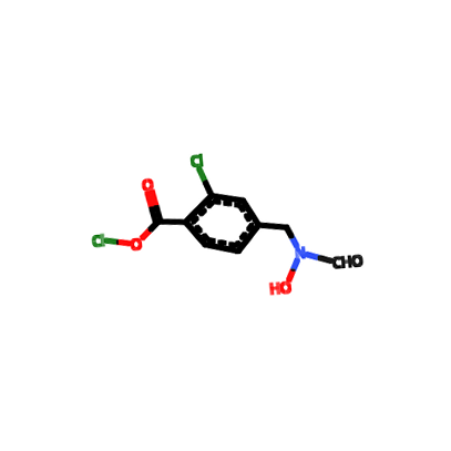 O=CN(O)Cc1ccc(C(=O)OCl)c(Cl)c1